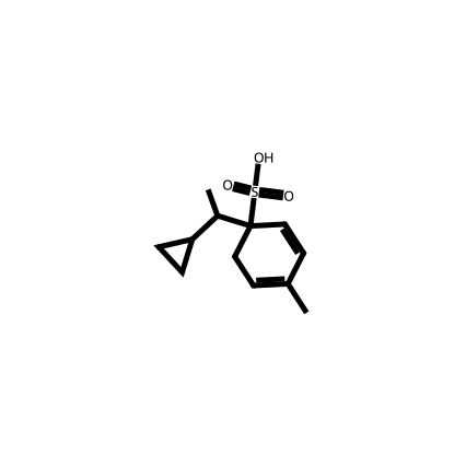 CC1=CCC(C(C)C2CC2)(S(=O)(=O)O)C=C1